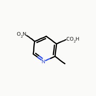 Cc1ncc([N+](=O)[O-])cc1C(=O)O